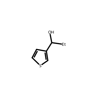 [CH2]CC(O)c1ccsc1